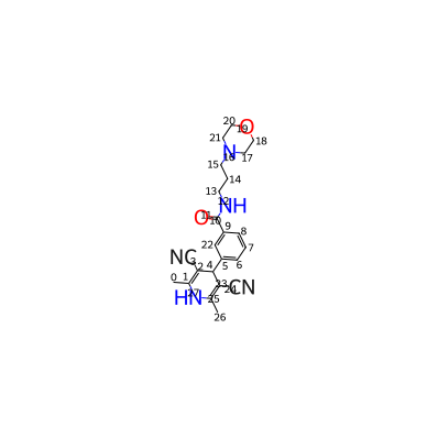 CC1=C(C#N)C(c2cccc(C(=O)NCCCN3CCOCC3)c2)C(C#N)=C(C)N1